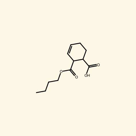 CCCCOC(=O)C1C=CCCC1C(=O)O